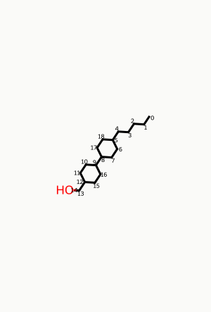 CCCCCC1CCC(C2CCC(CO)CC2)CC1